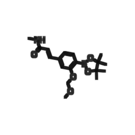 CNC(=O)/C=C/c1ccc(B2OC(C)(C)C(C)(C)O2)c(OCOC)c1